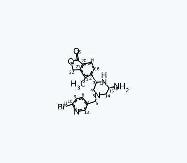 Cc1c([C@@H]2CN(Cc3ccc(Br)nc3)C[C@H](N)N2)ccc2c1COC2=O